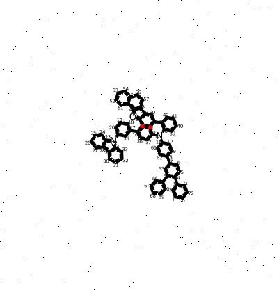 c1ccc(-c2ccc(-c3ccc(N(c4ccc(-c5cccc(-n6c7ccccc7c7ccccc76)c5)cc4)c4ccccc4-c4ccc5oc6c7ccccc7ccc6c5c4)cc3)cc2-c2ccccc2)cc1